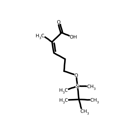 CC(=CCCO[Si](C)(C)C(C)(C)C)C(=O)O